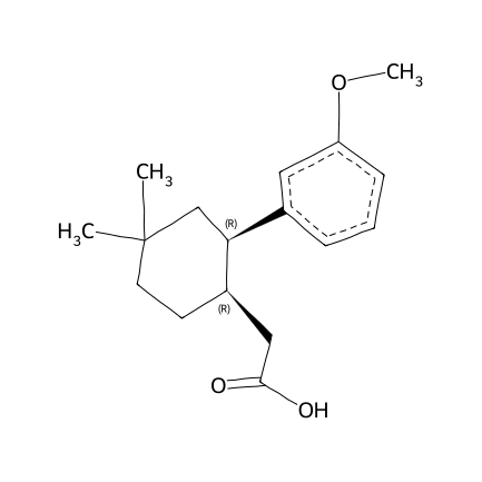 COc1cccc([C@@H]2CC(C)(C)CC[C@@H]2CC(=O)O)c1